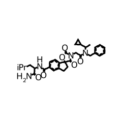 CC(C)CC(NC(=O)c1ccc2c(c1)CCC21OC(=O)N(CC(=O)N(Cc2ccccc2)C(C)C2CC2)C1=O)C(N)=O